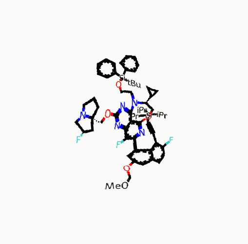 COCOc1cc(-c2nc3c4c(nc(OC[C@@]56CCCN5C[C@H](F)C6)nc4c2F)N(CCO[Si](c2ccccc2)(c2ccccc2)C(C)(C)C)[C@@H](C2CC2)CO3)c2c(C#C[Si](C(C)C)(C(C)C)C(C)C)c(F)ccc2c1